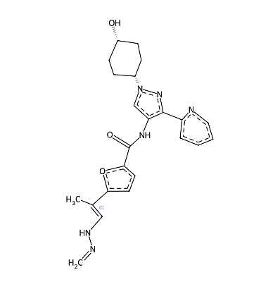 C=NN/C=C(\C)c1ccc(C(=O)Nc2cn([C@H]3CC[C@@H](O)CC3)nc2-c2ccccn2)o1